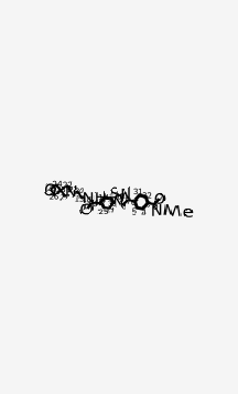 CNC(=O)c1ccc(-c2cn3c(n2)sc2cc(C(=O)NCCN4CC5(COC5)C4)ccc23)cc1